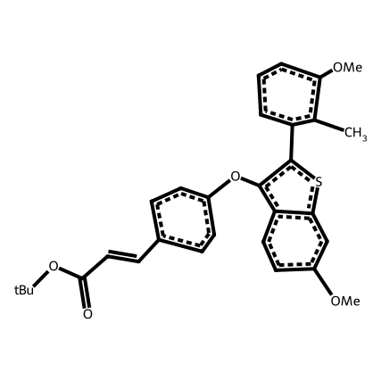 COc1ccc2c(Oc3ccc(/C=C/C(=O)OC(C)(C)C)cc3)c(-c3cccc(OC)c3C)sc2c1